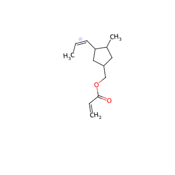 C=CC(=O)OCC1CC(C)C(/C=C\C)C1